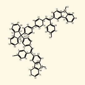 Cc1ccc(/C(=C\c2ccc(C3(c4ccc(C5=CCC(/C=C(\c6ccc(C)cc6)c6ccc7c(c6)c6ccccc6n7C)C=C5)cc4)c4ccccc4-c4ccccc43)cc2)c2ccc3c(c2)c2c(n3C)C=CCC2)cc1